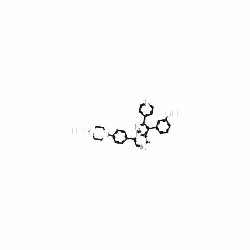 CN1CCN(c2ccc(-c3cnnc4c(-c5cccc(O)c5)c(-c5ccncc5)nn34)cc2)CC1